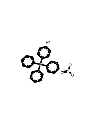 O=S([O-])[O-].[H+].c1ccc([P+](c2ccccc2)(c2ccccc2)c2ccccc2)cc1